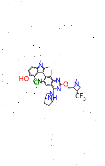 Cc1c(-c2c(Cl)cc3c(N4CC5CCC(C4)N5)nc(OC[C@@H]4[C@H](C(F)(F)F)CN4C)nc3c2F)c2c(C#N)c(O)ccc2n1C